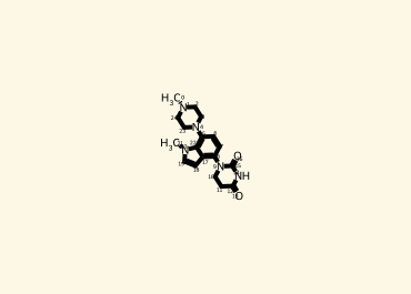 CN1CCN(c2ccc(N3CCC(=O)NC3=O)c3ccn(C)c23)CC1